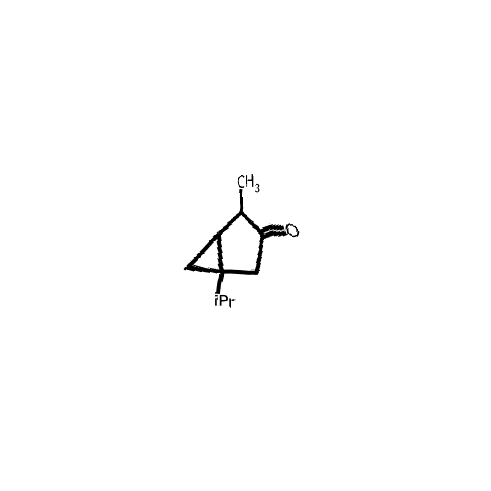 CC1C(=O)CC2(C(C)C)CC12